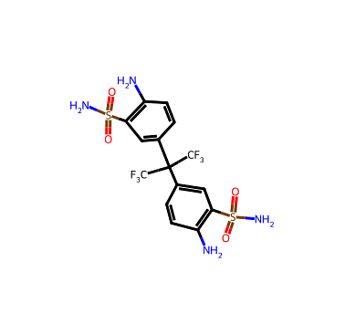 Nc1ccc(C(c2ccc(N)c(S(N)(=O)=O)c2)(C(F)(F)F)C(F)(F)F)cc1S(N)(=O)=O